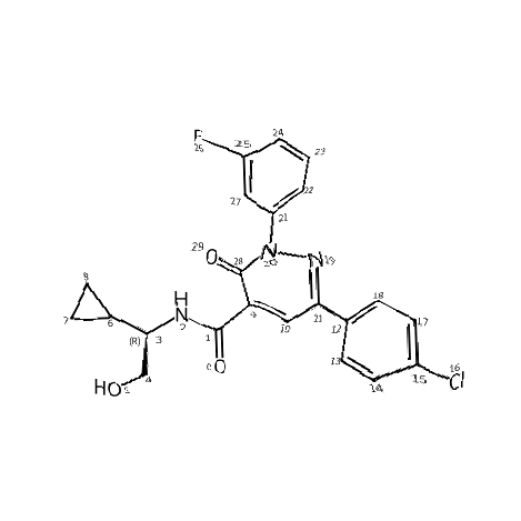 O=C(N[C@@H](CO)C1CC1)c1cc(-c2ccc(Cl)cc2)nn(-c2cccc(F)c2)c1=O